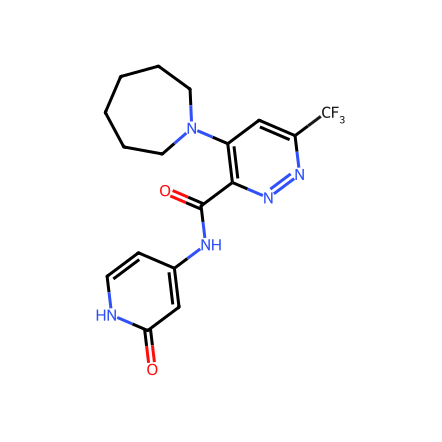 O=C(Nc1cc[nH]c(=O)c1)c1nnc(C(F)(F)F)cc1N1CCCCCC1